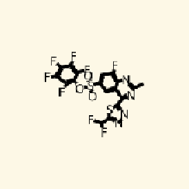 Cc1nc(-c2nnc(C(F)F)s2)c2cc(S(=O)(=O)Oc3c(F)c(F)c(F)c(F)c3F)cc(F)c2n1